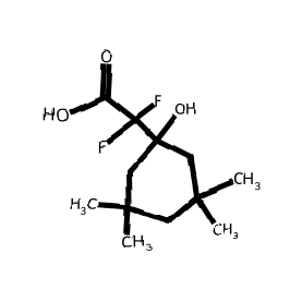 CC1(C)CC(C)(C)CC(O)(C(F)(F)C(=O)O)C1